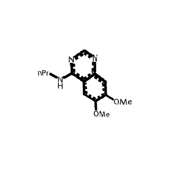 CCCNc1ncnc2cc(OC)c(OC)cc12